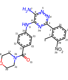 Cc1c(-c2nnc(N)c(Nc3ccc(C(=O)N4CCOCC4)cc3)n2)cccc1[N+](=O)[O-]